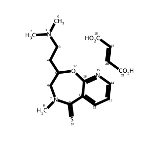 CN(C)CCC1CN(C)C(=S)c2cccnc2O1.O=C(O)/C=C/C(=O)O